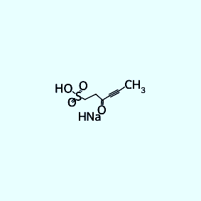 CC#CC(=O)CCS(=O)(=O)O.[NaH]